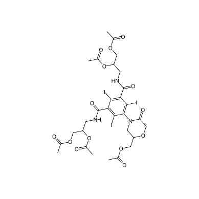 CC(=O)OCC1CN(c2c(I)c(C(=O)NCC(COC(C)=O)OC(C)=O)c(I)c(C(=O)NCC(COC(C)=O)OC(C)=O)c2I)C(=O)CO1